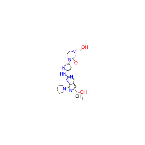 CC(O)c1cc2cnc(Nc3ccc(N4CCCN(CCO)CC4=O)cn3)nc2c(N2CCCCC2)n1